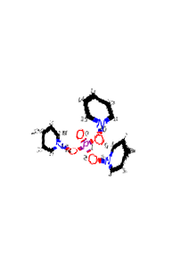 O=P(ON1CCCCC1)(ON1CCCCC1)ON1CCCCC1